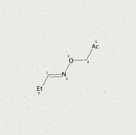 CCC=NOCC(C)=O